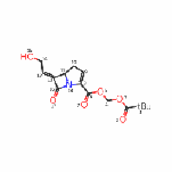 CC(C)(C)C(=O)OCOC(=O)C1=CCC2C(=CCO)C(=O)N12